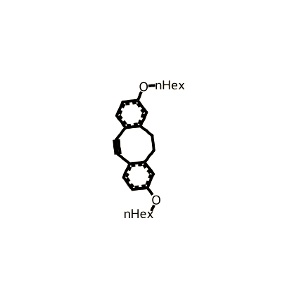 CCCCCCOc1ccc2c(c1)CCc1cc(OCCCCCC)ccc1C#C2